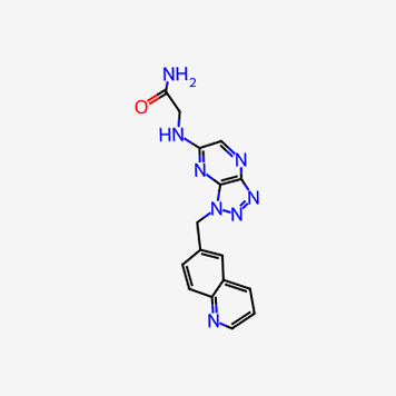 NC(=O)CNc1cnc2nnn(Cc3ccc4ncccc4c3)c2n1